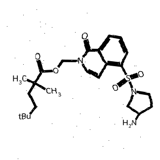 CC(C)(C)CCC(C)(C)C(=O)OCn1ccc2c(S(=O)(=O)N3CCC(N)C3)cccc2c1=O